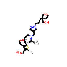 C[C@H]1C[C@@]2(CCN1Cc1cnn(CCCC3(CO)CCOC3)c1)OCCc1c2sc(C(F)(F)F)c1CO